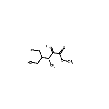 C=C(C(=O)OC)[C@H](C)C(CO)CO